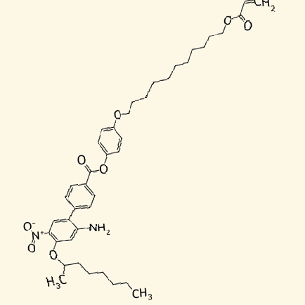 C=CC(=O)OCCCCCCCCCCCOc1ccc(OC(=O)c2ccc(-c3cc([N+](=O)[O-])c(OC(C)CCCCCC)cc3N)cc2)cc1